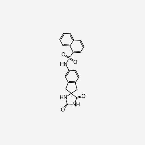 O=C1NC(=O)C2(Cc3ccc(NS(=O)(=O)c4cccc5ccccc45)cc3C2)N1